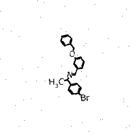 CC(N=Cc1cccc(OCc2ccccc2)c1)c1ccc(Br)cc1